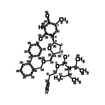 Cc1cn([C@H]2C[C@H](OP(OCCC#N)N(C(C)C)C(C)C)[C@@H](COCc3ccccc3-c3ccccc3)O2)c(=O)[nH]c1=O